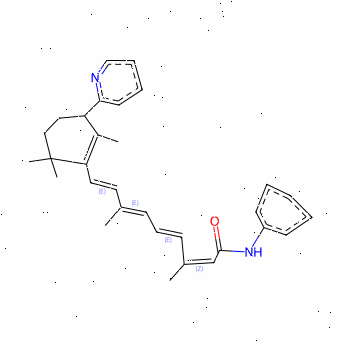 CC1=C(/C=C/C(C)=C/C=C/C(C)=C\C(=O)Nc2ccccc2)C(C)(C)CCC1c1ccccn1